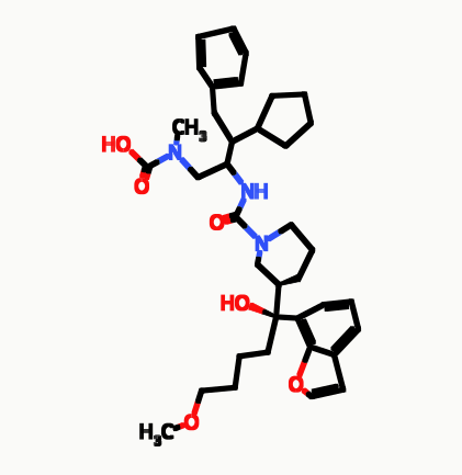 COCCCC[C@@](O)(c1cccc2ccoc12)[C@@H]1CCCN(C(=O)NC(CN(C)C(=O)O)C(Cc2ccccc2)C2CCCC2)C1